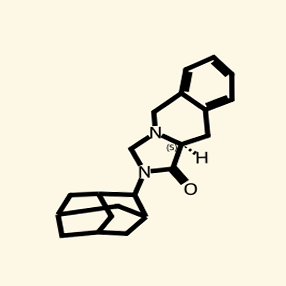 O=C1[C@@H]2Cc3ccccc3CN2CN1C1C2CC3CC(C2)CC1C3